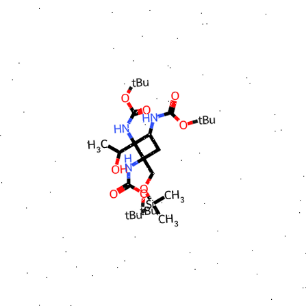 CC(O)C1(NC(=O)OC(C)(C)C)C(NC(=O)OC(C)(C)C)CC1(CO[Si](C)(C)C(C)(C)C)NC(=O)OC(C)(C)C